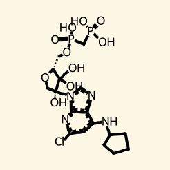 O=P(O)(O)CP(=O)(O)OC[C@H]1OC[C@](O)(n2cnc3c(NC4CCCC4)cc(Cl)nc32)C1(O)O